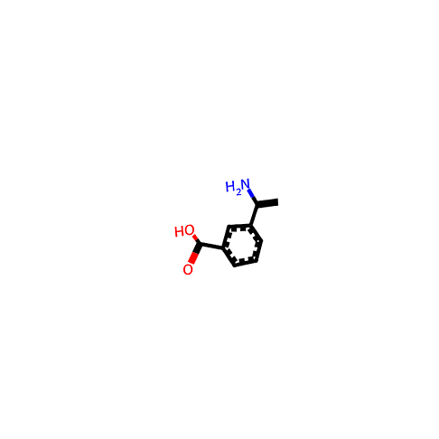 C=C(N)c1cccc(C(=O)O)c1